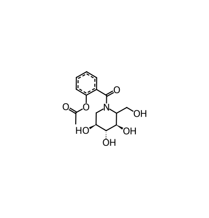 CC(=O)Oc1ccccc1C(=O)N1C[C@H](O)[C@@H](O)[C@H](O)C1CO